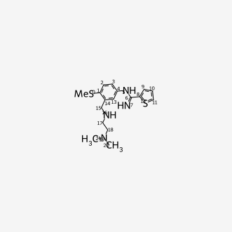 CSc1ccc(NC(=N)c2cccs2)cc1CNCCN(C)C